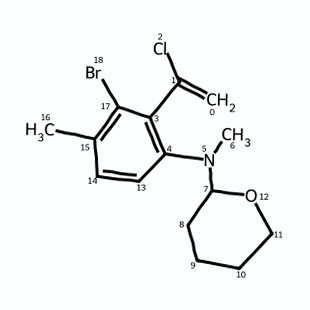 C=C(Cl)c1c(N(C)C2CCCCO2)ccc(C)c1Br